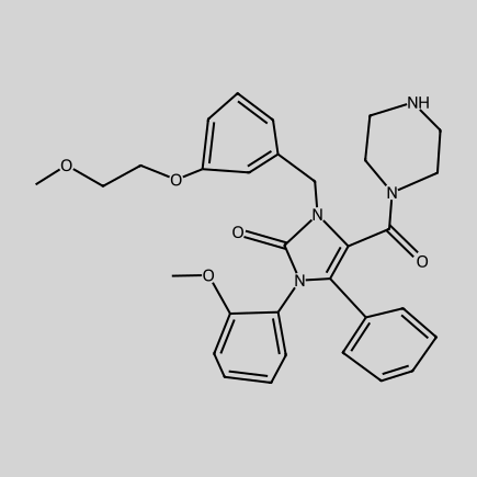 COCCOc1cccc(Cn2c(C(=O)N3CCNCC3)c(-c3ccccc3)n(-c3ccccc3OC)c2=O)c1